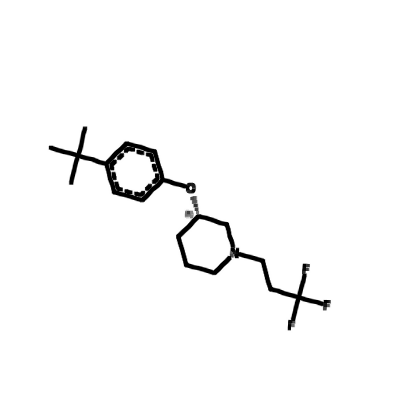 CC(C)(C)c1ccc(O[C@H]2CCCN(CCC(F)(F)F)C2)cc1